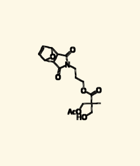 CC(=O)OCC(C)(CO)C(=O)OCCCN1C(=O)C2C3C=CC(O3)C2C1=O